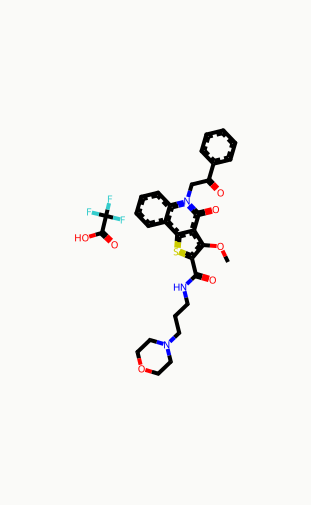 COc1c(C(=O)NCCCN2CCOCC2)sc2c1c(=O)n(CC(=O)c1ccccc1)c1ccccc21.O=C(O)C(F)(F)F